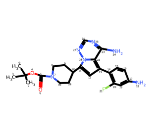 CC(C)(C)OC(=O)N1CCC(c2cc(-c3ccc(N)cc3F)c3c(N)ncnn23)CC1